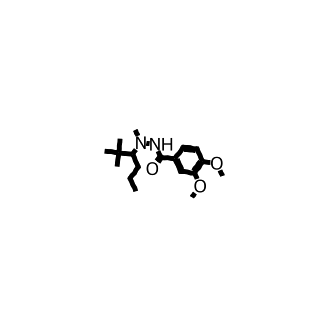 CCCC(N(C)NC(=O)c1ccc(OC)c(OC)c1)C(C)(C)C